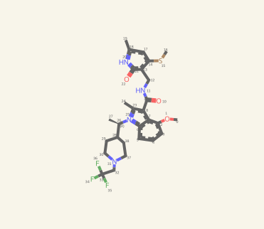 COc1cccc2c1c(C(=O)NCc1c(SC)cc(C)[nH]c1=O)c(C)n2[C@H](C)C1CCN(CC(F)(F)F)CC1